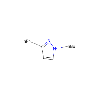 [CH2]CCc1ccn(CCCC)n1